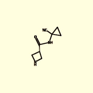 N#CC1(NC(=O)C2CNC2)CC1